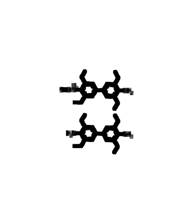 CCc1cc(-c2cc(CC)c(N)c(CC)c2)cc(CC)c1N.CCc1cc(-c2cc(CC)c(N)c(CC)c2)cc(CC)c1N.O=S